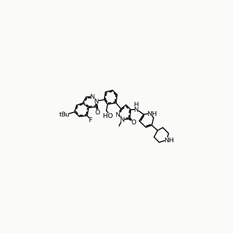 Cn1nc(-c2cccc(-n3ncc4cc(C(C)(C)C)cc(F)c4c3=O)c2CO)cc(NC2=CC=C(C3CCNCC3)CN2)c1=O